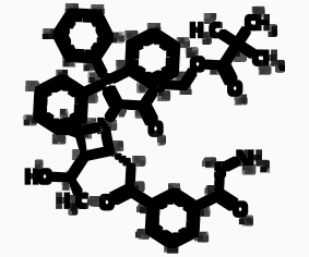 C[C@@H](O)[C@H]1C(=O)N(C(C(=O)OCOC(=O)C(C)(C)C)=P(c2ccccc2)(c2ccccc2)c2ccccc2)[C@@H]1CC(=O)c1cccc(C(=O)SN)c1